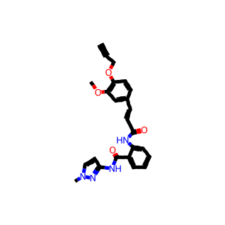 C#CCOc1ccc(C=CC(=O)Nc2ccccc2C(=O)Nc2ccn(C)n2)cc1OC